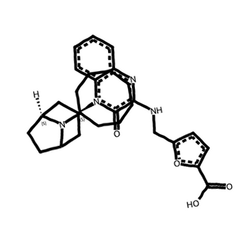 O=C(O)c1ccc(CNc2nc3ccccc3n([C@H]3CC4CC[C@@H](C3)N4C3CCCCCCC3)c2=O)o1